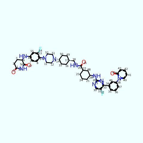 O=C1CCC(Nc2ccc(N3CCN([C@H]4CC[C@H](CNC(=O)C5CCCC(Nc6ncc(F)c(-c7cccc(-n8ccccc8=O)c7)n6)C5)CC4)CC3)c(F)c2)C(=O)N1